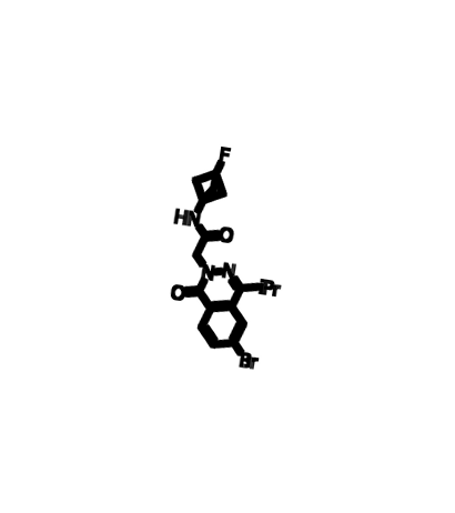 CC(C)c1nn(CC(=O)NC23CC(F)(C2)C3)c(=O)c2ccc(Br)cc12